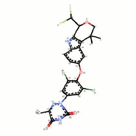 CC1(C)COC(C(F)F)c2[nH]c3ccc(Oc4c(Cl)cc(-n5nc(C#N)c(=O)[nH]c5=O)cc4Cl)cc3c21